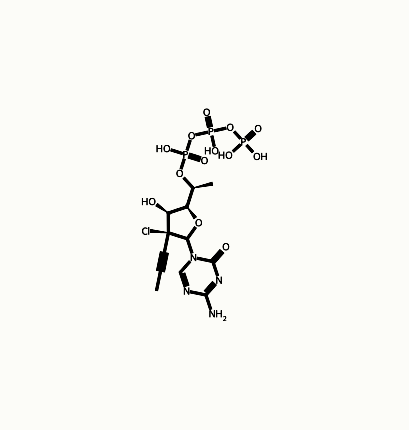 CC#C[C@@]1(Cl)C(n2cnc(N)nc2=O)O[C@H]([C@H](C)OP(=O)(O)OP(=O)(O)OP(=O)(O)O)[C@@H]1O